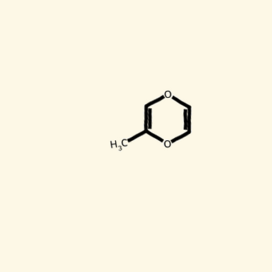 CC1=COC=CO1